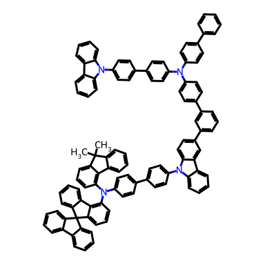 CC1(C)c2ccccc2-c2c(N(c3ccc(-c4ccc(-n5c6ccccc6c6cc(-c7cccc(-c8ccc(N(c9ccc(-c%10ccccc%10)cc9)c9ccc(-c%10ccc(-n%11c%12ccccc%12c%12ccccc%12%11)cc%10)cc9)cc8)c7)ccc65)cc4)cc3)c3cccc4c3-c3ccccc3C43c4ccccc4-c4ccccc43)cccc21